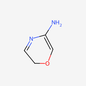 NC1=COCC=N1